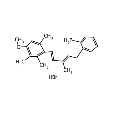 Br.COc1cc(C)c(C=CC(C)=CCc2ccccc2P)c(C)c1C